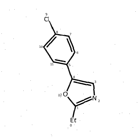 CCc1ncc(-c2ccc(Cl)cc2)o1